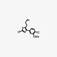 COc1cc(-c2nc(Cl)sc2CCC(C)C)ccc1Cl